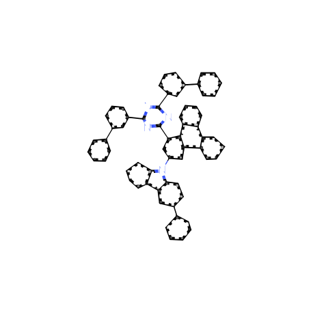 c1ccc(-c2cccc(-c3nc(-c4cccc(-c5ccccc5)c4)nc(-c4cc(-n5c6ccccc6c6cc(-c7ccccc7)ccc65)cc5c6ccccc6c6ccccc6c45)n3)c2)cc1